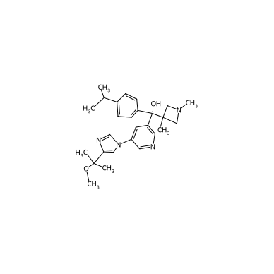 COC(C)(C)c1cn(-c2cncc([C@@](O)(c3ccc(C(C)C)cc3)C3(C)CN(C)C3)c2)cn1